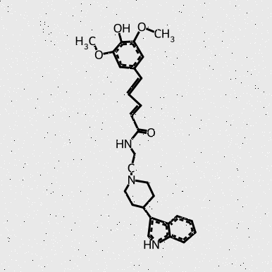 COc1cc(C=CC=CC(=O)NCCN2CCC(c3c[nH]c4ccccc34)CC2)cc(OC)c1O